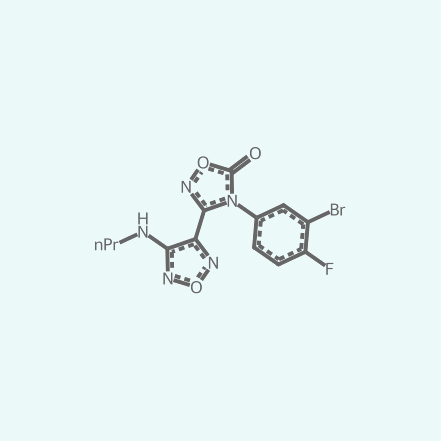 [CH2]CCNc1nonc1-c1noc(=O)n1-c1ccc(F)c(Br)c1